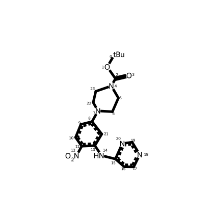 CC(C)(C)OC(=O)N1CCN(c2ccc([N+](=O)[O-])c(Nc3ccncn3)c2)CC1